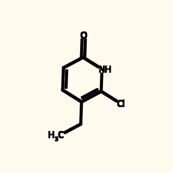 CCc1ccc(=O)[nH]c1Cl